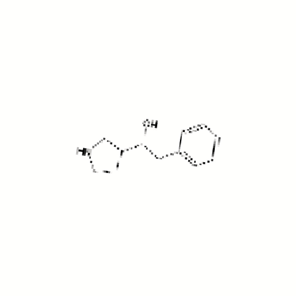 OC(Cc1ccccc1)C1CCNC1